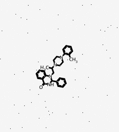 Cc1ccccc1N1CCN(C(C)CN2c3ccccc3C(=O)NC2c2ccccc2)CC1